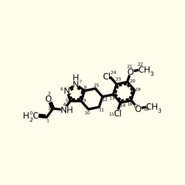 C=CC(=O)Nc1n[nH]c2c1CCC(c1c(Cl)c(OC)cc(OC)c1Cl)C2